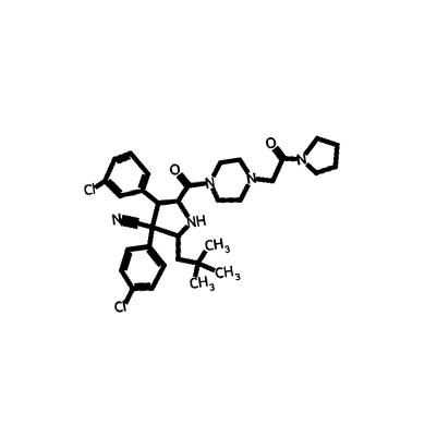 CC(C)(C)CC1NC(C(=O)N2CCN(CC(=O)N3CCCC3)CC2)C(c2cccc(Cl)c2)C1(C#N)c1ccc(Cl)cc1